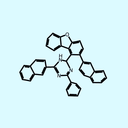 c1ccc(C2=NC(c3c(-c4ccc5ccccc5c4)ccc4oc5ccccc5c34)NC(c3ccc4ccccc4c3)=N2)cc1